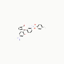 CCN(CC)c1ccc2c(c1)Oc1ccc(NS(=O)(=O)c3ccc([N+](=O)[O-])cc3)cc1C21OC(=O)c2ccccc21